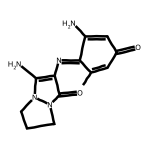 CC1=CC(=O)C=C(N)C1=Nc1c(N)n2n(c1=O)CCC2